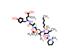 CCCCCCON(C(=O)[C@@H](NC(=O)[C@H]1CCCCN1C)[C@@H](C)CC)[C@H](C[C@@H](OC(C)=O)c1nc(C(=O)N[C@@H](Cc2ccc(O)cc2)C[C@H](C)C(=O)O)cs1)C(C)C